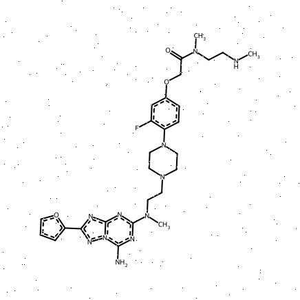 CNCCN(C)C(=O)COc1ccc(N2CCN(CCN(C)c3nc(N)n4nc(-c5ccco5)nc4n3)CC2)c(F)c1